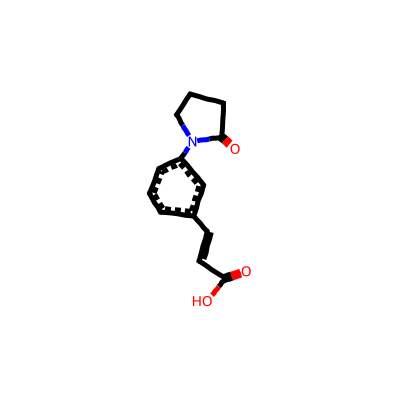 O=C(O)C=Cc1cccc(N2CCCC2=O)c1